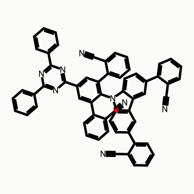 N#Cc1ccccc1-c1ccc2c(c1)c1cc(-c3ccccc3C#N)ccc1n2-c1c(-c2ccccc2C#N)cc(-c2nc(-c3ccccc3)nc(-c3ccccc3)n2)cc1-c1ccccc1C#N